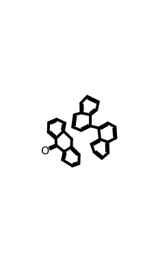 O=C1c2ccccc2Cc2ccccc21.c1ccc2c(-c3cccc4ccccc34)cccc2c1